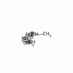 CCCCCCCCCCCCC(C(=O)NC1CCC(Nc2cc(S(=O)(=O)O)c(N)c3c2C(=O)c2ccccc2C3=O)CC1)P(=O)(O)O